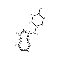 CN1CCC(Oc2noc3ccccc23)CC1